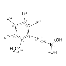 OB(O)O.[Li][c]1c(F)c(F)c(C=C)c(F)c1F